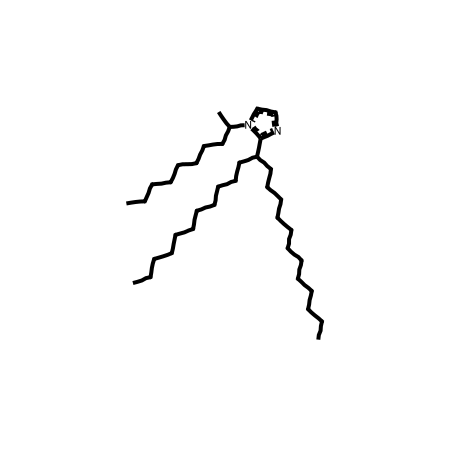 CCCCCCCCCCCCC(CCCCCCCCCCC)c1nccn1C(C)CCCCCCCC